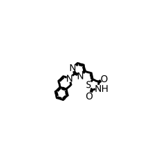 O=C1NC(=O)C(=Cc2ccnc(N3C=Cc4ccccc4C3)n2)S1